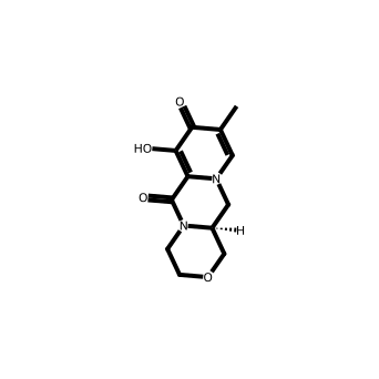 Cc1cn2c(c(O)c1=O)C(=O)N1CCOC[C@@H]1C2